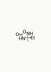 CC[C@]1(C)NOC(=O)N1